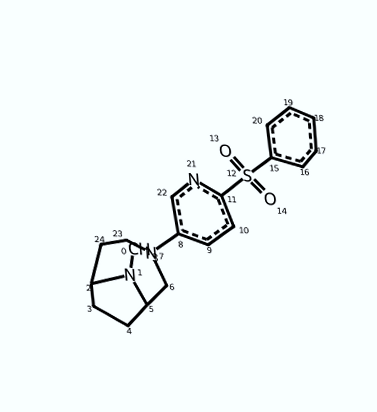 CN1C2CCC1CN(c1ccc(S(=O)(=O)c3ccccc3)nc1)CC2